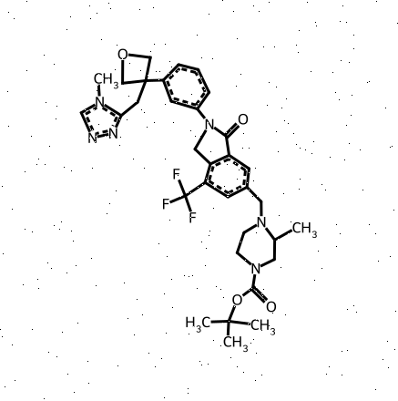 CC1CN(C(=O)OC(C)(C)C)CCN1Cc1cc2c(c(C(F)(F)F)c1)CN(c1cccc(C3(Cc4nncn4C)COC3)c1)C2=O